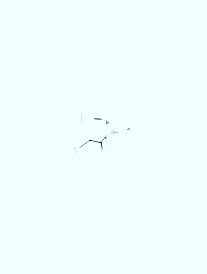 CCO[SiH](OCC)C(Cl)CC(C)C